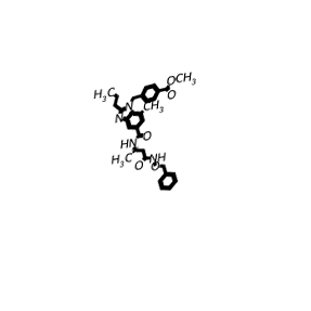 CCCc1nc2cc(C(=O)N[C@H](C)CC(=O)NOCc3ccccc3)cc(C)c2n1Cc1ccc(C(=O)OC)cc1